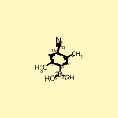 Cc1cc(B(O)O)c(C)cc1C#N